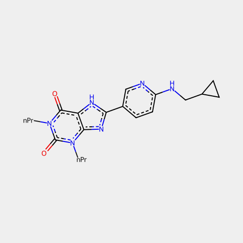 CCCn1c(=O)c2[nH]c(-c3ccc(NCC4CC4)nc3)nc2n(CCC)c1=O